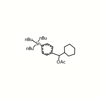 CCC[CH2][Sn]([CH2]CCC)([CH2]CCC)[c]1ccc(C(OC(C)=O)C2CCCCC2)cc1